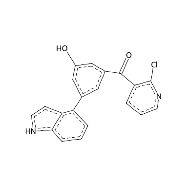 O=C(c1cc(O)cc(-c2cccc3[nH]ccc23)c1)c1cccnc1Cl